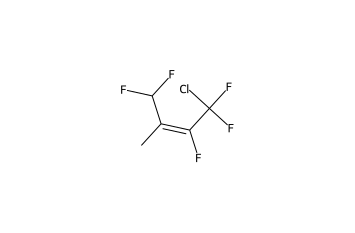 CC(=C(F)C(F)(F)Cl)C(F)F